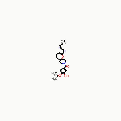 CC/C=C\C=C/C1=CCCCC2(CCN(C(=O)c3ccc(OC(C)C)c(O)c3)CC2)O1